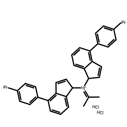 C[C](C)=[Hf]([CH]1C=Cc2c(-c3ccc(C(C)C)cc3)cccc21)[CH]1C=Cc2c(-c3ccc(C(C)C)cc3)cccc21.Cl.Cl